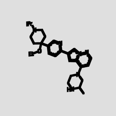 CCOC1(c2ccc(-c3cc4c(N5CCNC(C)C5)ccnn4c3)nc2)CCN(C(C)C)CC1